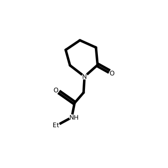 CCNC(=O)CN1CCCCC1=O